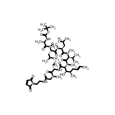 C/C=C/C[C@@H](C)[C@@H](O)[C@@H](C(=O)N[C@@H](CC)C(=O)N(C)CC(=O)NCCN1C(=O)C=CC1=O)N(C)C(=O)[C@H](C(C)C)N(C)C(=O)[C@H](CC(C)C)N(C)C(=O)[C@H](CC(C)C)N(C)C(=O)[C@@H](C)NC(=O)OC(C)(C)C